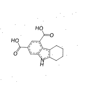 O=C(O)c1cc(C(=O)O)c2c3c([nH]c2c1)CCCC3